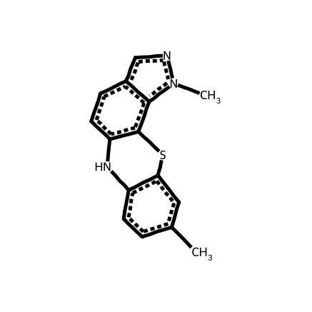 Cc1ccc2c(c1)Sc1c(ccc3cnn(C)c13)N2